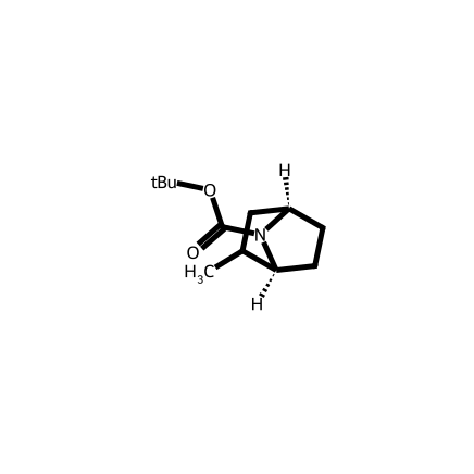 CC1C[C@H]2CC[C@@H]1N2C(=O)OC(C)(C)C